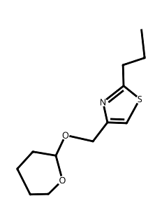 CCCc1nc(COC2CCCCO2)cs1